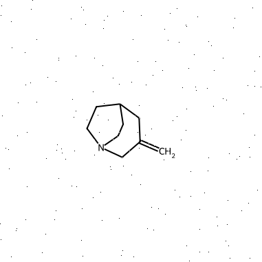 C=C1CC2CCN(CC2)C1